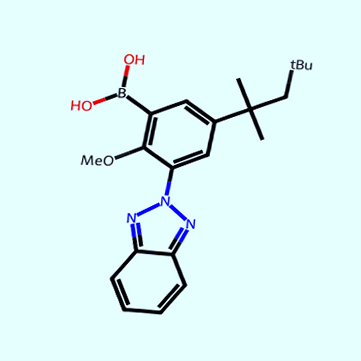 COc1c(B(O)O)cc(C(C)(C)CC(C)(C)C)cc1-n1nc2ccccc2n1